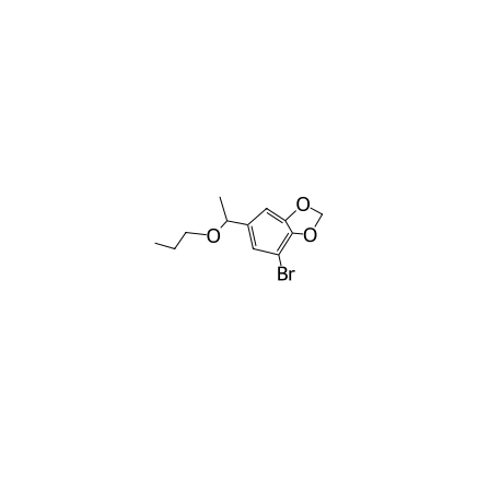 CCCOC(C)c1cc(Br)c2c(c1)OCO2